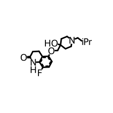 CC(C)CN1CCC(O)(COc2ccc(F)c3c2CCC(=O)N3)CC1